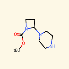 CC(C)(C)OC(=O)N1CCC1N1CCNCC1